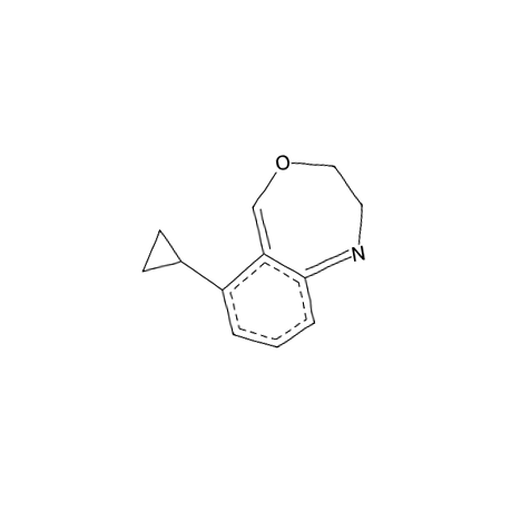 C1=c2c(C3CC3)cccc2=NCCO1